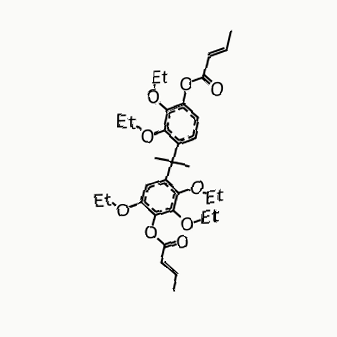 CC=CC(=O)Oc1ccc(C(C)(C)c2cc(OCC)c(OC(=O)C=CC)c(OCC)c2OCC)c(OCC)c1OCC